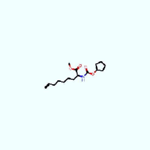 C=CCCCCCC(NC(=O)OC1CCCC1)C(=O)OC